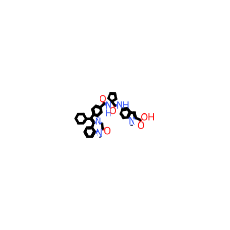 CN1C(=O)Cn2c(c(C3CCCCC3)c3ccc(C(=O)NC4(C(=O)Nc5ccc6c(c5)cc(C(=O)O)n6C)CCCC4)cc32)-c2ccccc21